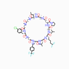 CC[C@H](C)[C@@H]1NC(=O)[C@H](C)N(C)C(=O)C[C@@H](C(=O)N2CCCC2)NC(=O)[C@H](CC(C)C)N(C)C(=O)[C@H](CCCCC(F)F)N(C)C(=O)[C@H](CC(C)C)NC(=O)[C@H](CCc2ccc(C(F)(F)F)cc2)NC(=O)CN(C)C(=O)[C@H](Cc2ccc(Cl)cc2)N(C)C(=O)CN(C)C(=O)CN(C)C1=O